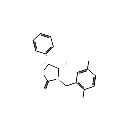 Cc1ccc(Br)c(CN2C(=O)O[C@H](c3ccccc3)[C@@H]2C)c1